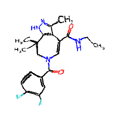 CCNC(=O)C1=CN(C(=O)c2ccc(F)c(F)c2)CC(C)(C)c2[nH]nc(C)c21